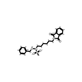 CS(=O)(=O)N(CCCCCCN1C(=O)c2ccccc2C1=O)OCc1ccccc1